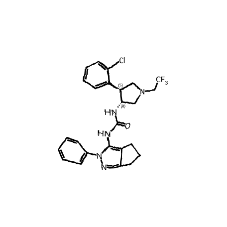 O=C(Nc1c2c(nn1-c1ccccc1)CCC2)N[C@H]1CN(CC(F)(F)F)C[C@@H]1c1ccccc1Cl